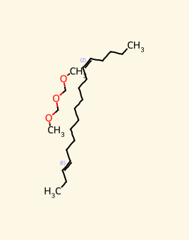 CC/C=C/CCCCCCCC/C=C\CCCC.COCOCOC